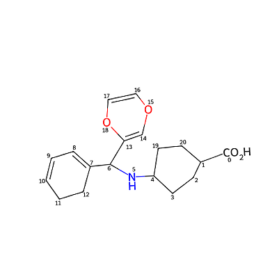 O=C(O)C1CCC(NC(C2=CC=CCC2)C2=COC=CO2)CC1